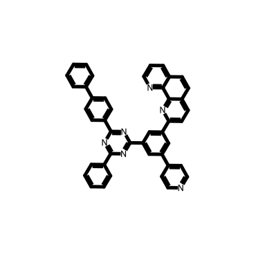 c1ccc(-c2ccc(-c3nc(-c4ccccc4)nc(-c4cc(-c5ccncc5)cc(-c5ccc6ccc7cccnc7c6n5)c4)n3)cc2)cc1